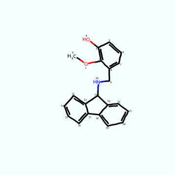 COc1c(O)cccc1CNC1c2ccccc2-c2ccccc21